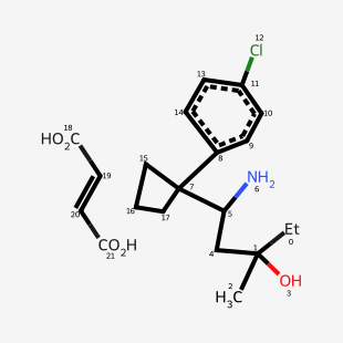 CCC(C)(O)CC(N)C1(c2ccc(Cl)cc2)CCC1.O=C(O)C=CC(=O)O